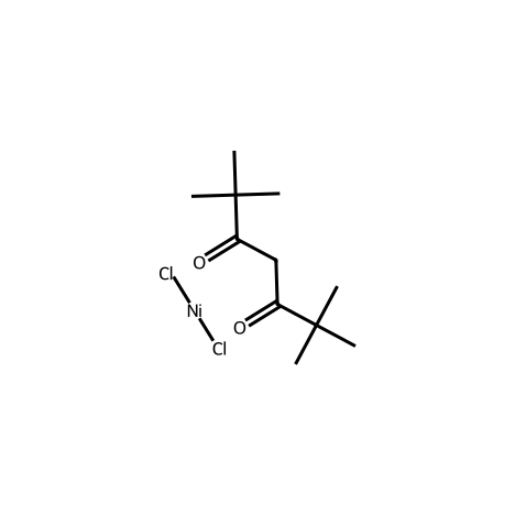 CC(C)(C)C(=O)CC(=O)C(C)(C)C.[Cl][Ni][Cl]